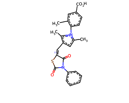 Cc1cc(C(=O)O)ccc1-n1c(C)cc(/C=C2/SC(=O)N(c3ccccc3)C2=O)c1C